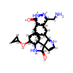 NCc1n[nH]c(=O)c2ccc(C3=NC=CC34C(=O)Nc3c(OC5CC5)cccc34)cc12